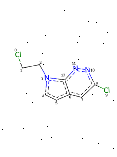 ClCCn1ccc2cc(Cl)nnc21